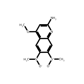 COc1cc(N)nc2cc([S+](C)[O-])c([S+](C)[O-])cc12